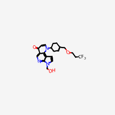 O=c1ccn(C2CCC(COCCC(F)(F)F)CC2)c2c1cnc1c2ccn1CO